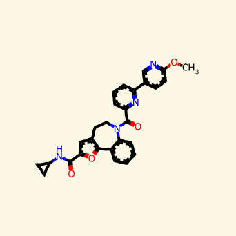 COc1ccc(-c2cccc(C(=O)N3CCc4cc(C(=O)NC5CC5)oc4-c4ccccc43)n2)cn1